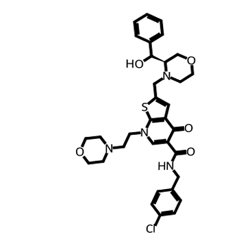 O=C(NCc1ccc(Cl)cc1)c1cn(CCN2CCOCC2)c2sc(CN3CCOC[C@@H]3C(O)c3ccccc3)cc2c1=O